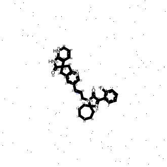 O=C1C(c2ccccc2F)=NC2(CCCCCC2)N1C/C=C/c1cnc2c(c1)CC1(C2)C(=O)NC2=C1C=CCN2